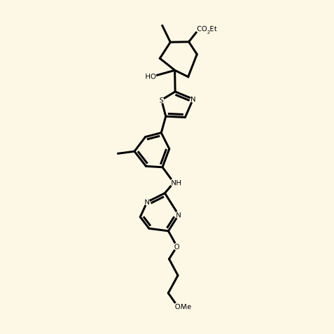 CCOC(=O)C1CCC(O)(c2ncc(-c3cc(C)cc(Nc4nccc(OCCCOC)n4)c3)s2)CC1C